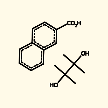 CC(C)(O)C(C)(C)O.O=C(O)c1ccc2ccccc2c1